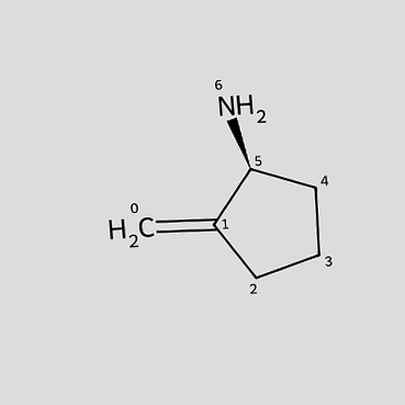 C=C1CCC[C@@H]1N